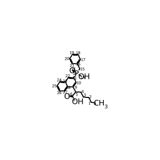 CCCCCC(C(=O)O)c1cc(P(=O)(O)Cc2ccccc2)cc2ccccc12